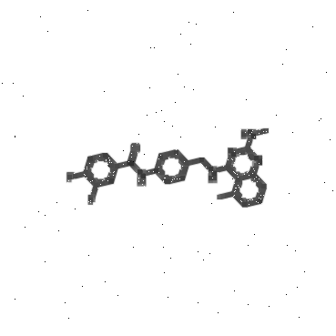 CNc1nc(NCc2ccc(NC(=O)c3ccc(F)c(F)c3)cc2)c2c(C)cccc2n1